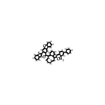 C=C(/C=C1/C=CC(c2ccccc2)=CC1=O)C1=c2\cccc\c2=C(C(=O)c2cc3c(cc2-c2cc4ccccc4s2)oc2ccccc23)\C=C\CC\C=C\1